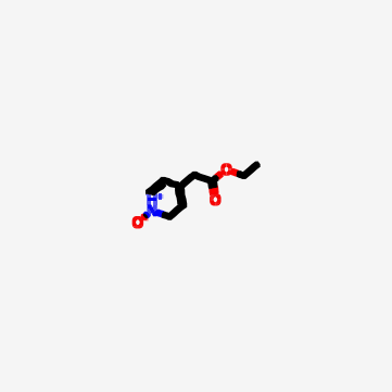 CCOC(=O)CC1=CC[NH+]([O-])C=C1